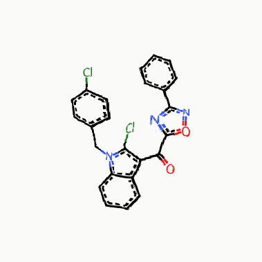 O=C(c1nc(-c2ccccc2)no1)c1c(Cl)n(Cc2ccc(Cl)cc2)c2ccccc12